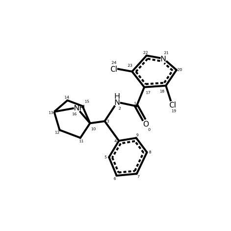 O=C(NC(c1ccccc1)C12CCC(CC1)N2)c1c(Cl)cncc1Cl